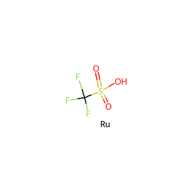 O=S(=O)(O)C(F)(F)F.[Ru]